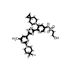 Cc1cc(-c2nnc(-c3ncc(NS(=O)(=O)CCO)cc3N3CCC4(CC3)CC4)o2)nc(N2CCC(F)(F)CC2)n1